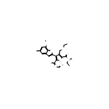 CCOCc1c(-c2cc3cc(C)cc(OC)c3s2)c2c(N)ncnn2c1C(=O)N(C)CC